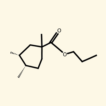 CCCOC(=O)C1(C)CC[C@H](C)[C@H](C)C1